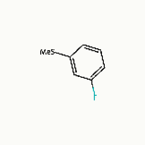 CSc1cccc(F)c1